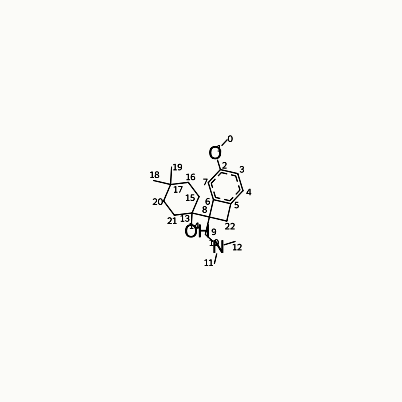 COc1ccc2c(c1)C(CN(C)C)(C1(O)CCC(C)(C)CC1)C2